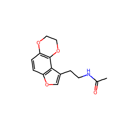 CC(=O)NCCc1coc2ccc3c(c12)OCCO3